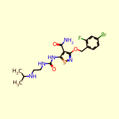 CC(C)NCCNC(=O)Nc1snc(OCc2ccc(Br)cc2F)c1C(N)=O